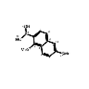 CSc1ccc2c(SC)c(B(O)O)ccc2c1